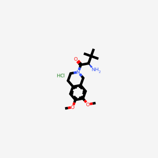 COc1cc2c(cc1OC)CN(C(=O)[C@H](N)C(C)(C)C)CC2.Cl